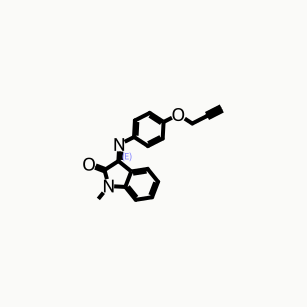 C#CCOc1ccc(/N=C2/C(=O)N(C)c3ccccc32)cc1